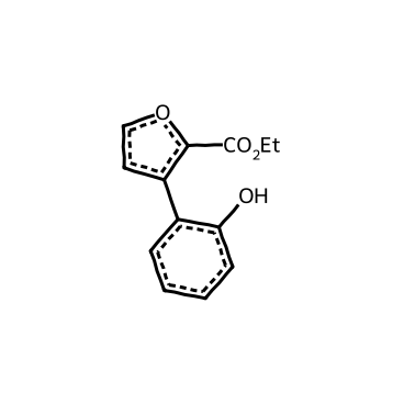 CCOC(=O)c1occc1-c1ccccc1O